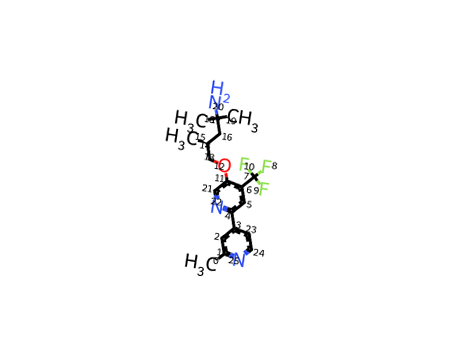 Cc1cc(-c2cc(C(F)(F)F)c(OC[C@@H](C)CC(C)(C)N)cn2)ccn1